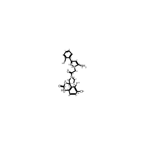 Nc1cc(-c2ccccc2F)nn1CC(=O)N1CC[C@@]2(C1)OC(=O)Nc1ccc(Cl)c(F)c12